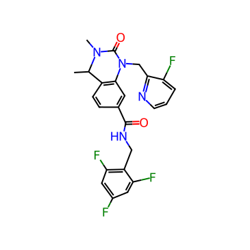 CC1c2ccc(C(=O)NCc3c(F)cc(F)cc3F)cc2N(Cc2ncccc2F)C(=O)N1C